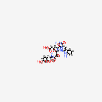 NC(=O)[C@H](Cc1c[nH]c2ccccc12)NC(=O)[C@H](CCCC(=O)O)NC(=O)[C@H]1O[C@@H]1C(=O)N[C@@H](Cc1ccc(O)cc1)C(=O)O